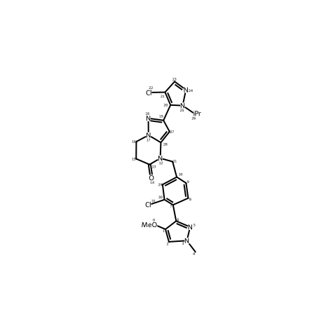 COc1cn(C)nc1-c1ccc(CN2C(=O)CCn3nc(-c4c(Cl)cnn4C(C)C)cc32)cc1Cl